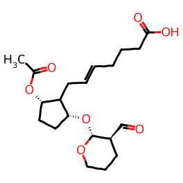 CC(=O)O[C@H]1CC[C@@H](O[C@H]2OCCC[C@@H]2C=O)C1C/C=C/CCCC(=O)O